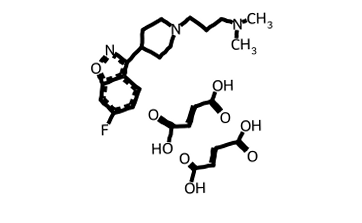 CN(C)CCCN1CCC(c2noc3cc(F)ccc23)CC1.O=C(O)C=CC(=O)O.O=C(O)C=CC(=O)O